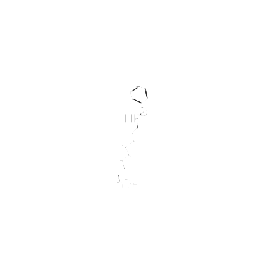 CCCCCCCCCCCCCCCCCCPOc1ccccc1